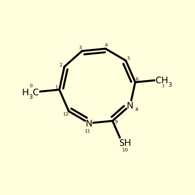 Cc1ccccc(C)nc(S)nc1